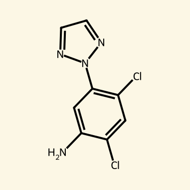 Nc1cc(-n2nccn2)c(Cl)cc1Cl